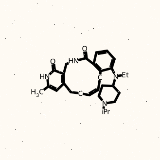 CCN(c1cccc2c1CC=CCCc1cc(C)[nH]c(=O)c1CNC2=O)C1CCN(C(C)C)CC1